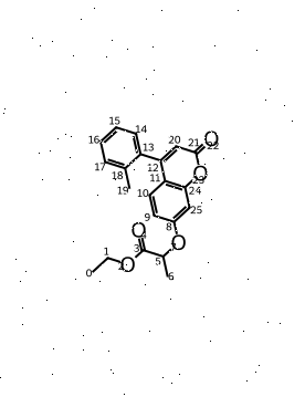 CCOC(=O)C(C)Oc1ccc2c(-c3ccccc3C)cc(=O)oc2c1